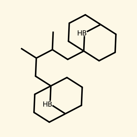 CC(CC12BC(CCC1)CCC2)C(C)CC12BC(CCC1)CCC2